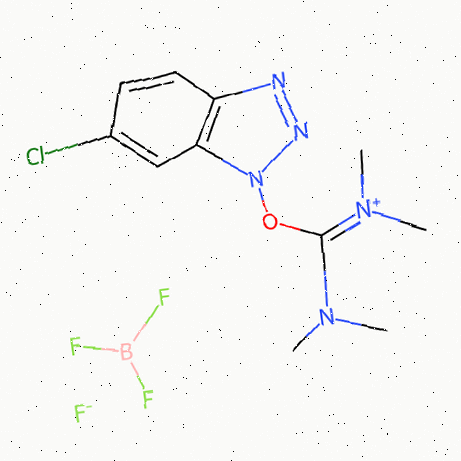 CN(C)C(On1nnc2ccc(Cl)cc21)=[N+](C)C.FB(F)F.[F-]